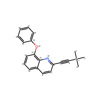 C[Si](C)(C)C#Cc1ccc2cccc(Oc3ccccc3)c2n1